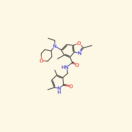 CCN(c1cc2oc(C)nc2c(C(=O)NCc2c(C)cc(C)[nH]c2=O)c1C)C1CCOCC1